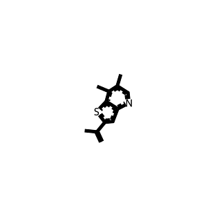 C=C(C)c1cc2ncc(C)c(C)c2s1